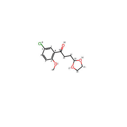 COc1ccc(Cl)cc1C(=O)CCC1OCCO1